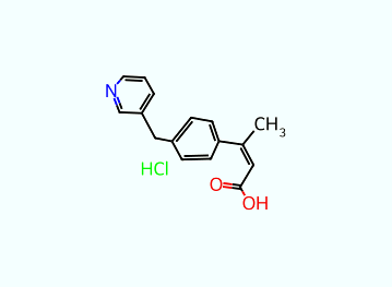 C/C(=C/C(=O)O)c1ccc(Cc2cccnc2)cc1.Cl